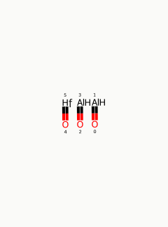 [O]=[AlH].[O]=[AlH].[O]=[Hf]